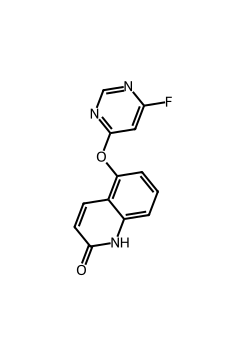 O=c1ccc2c(Oc3cc(F)ncn3)cccc2[nH]1